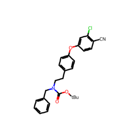 CC(C)(C)OC(=O)N(CCc1ccc(Oc2ccc(C#N)c(Cl)c2)cc1)Cc1ccccc1